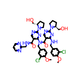 COc1ccc(CNc2nc(N3CCC[C@H]3CO)ncc2C(=O)N(Cc2ccc(OC)c(Cl)c2)c2nc(N3CCC[C@H]3CO)ncc2C(=O)NCc2ncccn2)cc1Cl